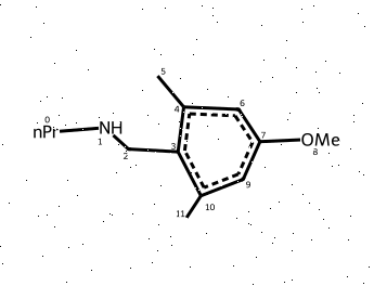 CCCNCc1c(C)cc(OC)cc1C